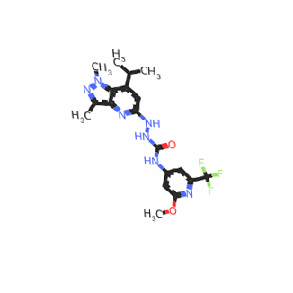 COc1cc(NC(=O)NNc2cc(C(C)C)c3c(n2)c(C)nn3C)cc(C(F)(F)F)n1